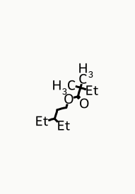 CCC(CC)CCOC(=O)C(C)(C)CC